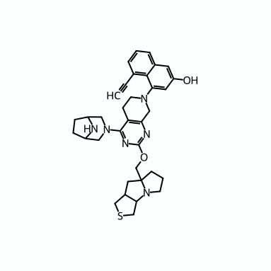 C#Cc1cccc2cc(O)cc(N3CCc4c(nc(OCC56CCCN5C5CSCC5C6)nc4N4CC5CCC(C4)N5)C3)c12